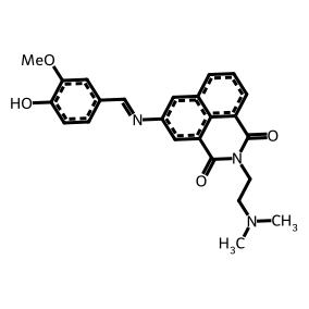 COc1cc(C=Nc2cc3c4c(cccc4c2)C(=O)N(CCN(C)C)C3=O)ccc1O